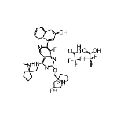 CN(C)C1(CNc2nc(OC[C@@]34CCCN3C[C@H](F)C4)nc3c(F)c(-c4cc(O)cc5ccccc45)ncc23)CCCC1.O=C(O)C(F)(F)F.O=C(O)C(F)(F)F